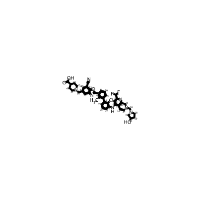 Cc1c(Nc2cc(C(F)F)nc3c2C=CN(CN2CCC(O)C2)C3)cccc1-c1cccc(-c2nc3cc(CN4CCC(C(=O)O)CC4)cc(C#N)c3o2)c1C